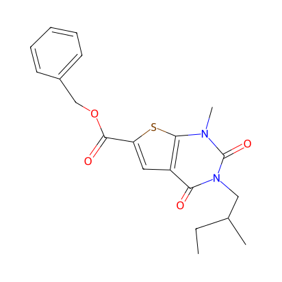 CCC(C)Cn1c(=O)c2cc(C(=O)OCc3ccccc3)sc2n(C)c1=O